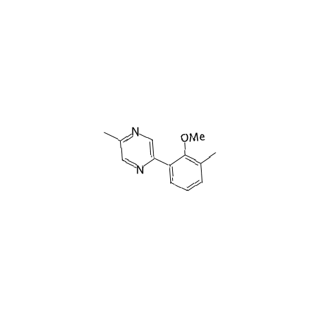 COc1c(C)cccc1-c1cnc(C)cn1